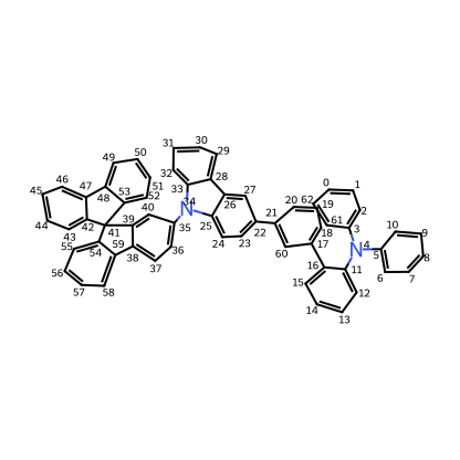 c1ccc(N(c2ccccc2)c2ccccc2-c2cccc(-c3ccc4c(c3)c3ccccc3n4-c3ccc4c(c3)C3(c5ccccc5-c5ccccc53)c3ccccc3-4)c2)cc1